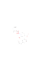 COC1CC(CC(C)C(C)OC(=O)C2CCCCN2C(=O)C(=O)C2(O)OC(F)CCC2C)CCC1OCCO